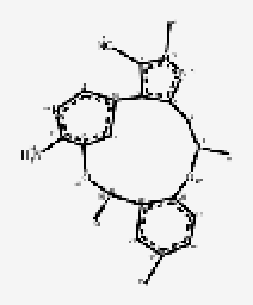 CB1Cc2nn(C)c(C#N)c2-c2cnc(N)c(c2)O[C@H](C)c2cc(C)ccc2O1